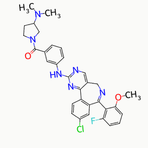 COc1cccc(F)c1C1=NCc2cnc(Nc3cccc(C(=O)N4CCC(N(C)C)C4)c3)nc2-c2ccc(Cl)cc21